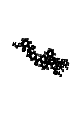 CC(C)C[C@H](NC(=O)[C@@]1(c2ccccc2)CC[C@H](C(=O)N2CCC(NC(=O)c3cccn(C)c3=O)CC2)c2ccccc21)C(=O)OC(C)(C)C